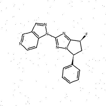 F[C@H]1C[C@@H](c2ccccc2)n2nc(-n3ncc4cnccc43)nc21